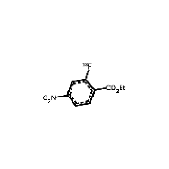 CCOC(=O)c1ccc([N+](=O)[O-])cc1[18F]